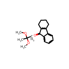 COC(C)(C)OC.O=C1C2=C(CCCC2)c2ccccc21